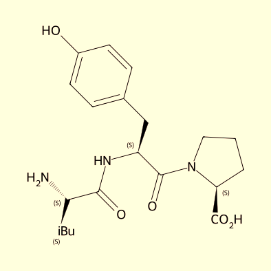 CC[C@H](C)[C@H](N)C(=O)N[C@@H](Cc1ccc(O)cc1)C(=O)N1CCC[C@H]1C(=O)O